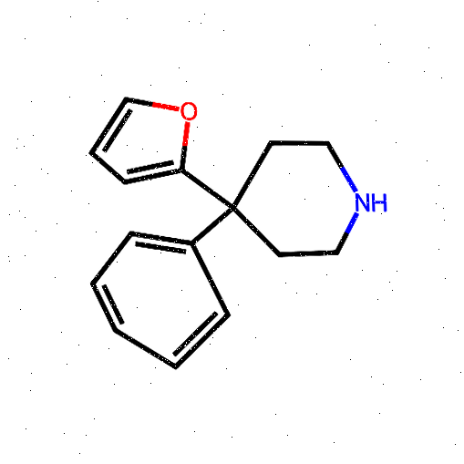 c1ccc(C2(c3ccco3)CCNCC2)cc1